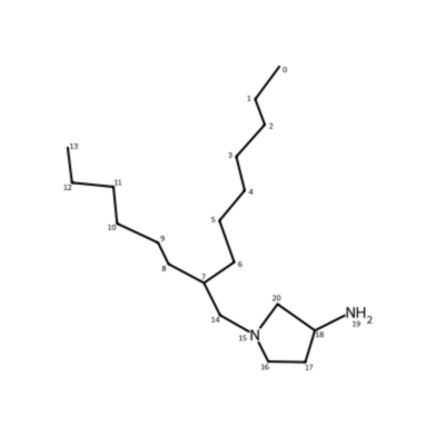 CCCCCCCC(CCCCCC)CN1CCC(N)C1